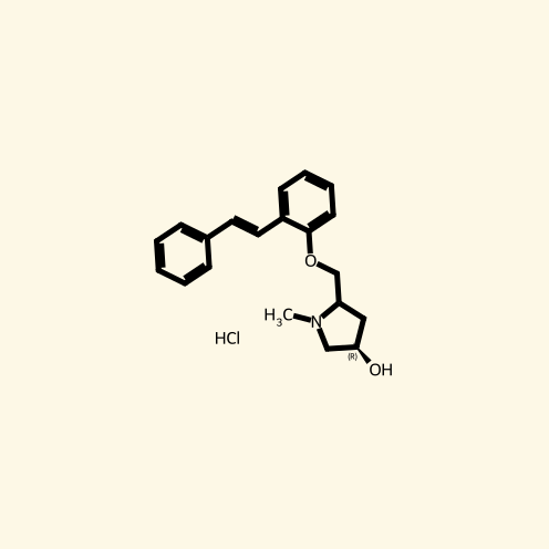 CN1C[C@H](O)CC1COc1ccccc1C=Cc1ccccc1.Cl